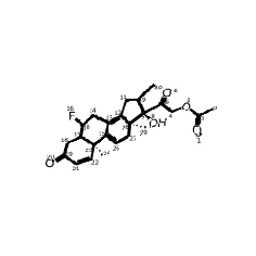 CC(=O)OCC(=O)[C@@]1(O)C(C)CC2=C3CC(F)C4CC(=O)C=C[C@]4(C)C3=CC[C@@]21C